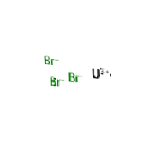 [Br-].[Br-].[Br-].[U+3]